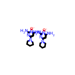 Nc1cc(N2CCCCC2)nc(N)[n+]1[O-].Nc1cc(N2CCCCC2)nc(N)[n+]1[O-]